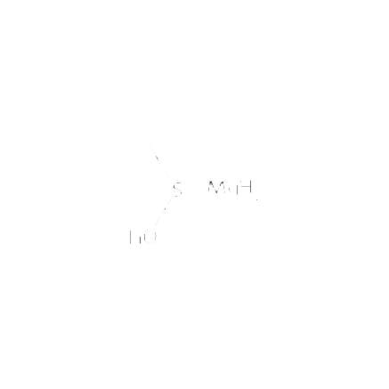 CSO.[MgH2]